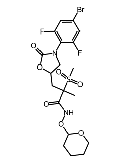 CC(CC1CN(c2c(F)cc(Br)cc2F)C(=O)O1)(C(=O)NOC1CCCCO1)S(C)(=O)=O